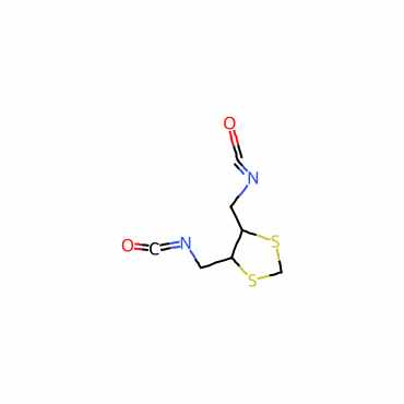 O=C=NCC1SCSC1CN=C=O